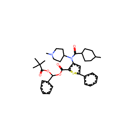 CC1CCC(C(=O)N(c2cc(-c3ccccc3)sc2C(=O)OC(OC(=O)C(C)(C)C)c2ccccc2)C2CCN(C)CC2)CC1